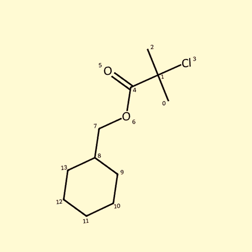 CC(C)(Cl)C(=O)OCC1CCCCC1